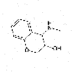 CN[C@H]1c2ccccc2OC[C@H]1O